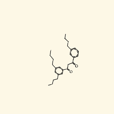 CCCCc1cccc(C(=O)CC(=O)c2cc(CCCC)cc(CCCC)c2)c1